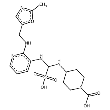 Cc1ncc(CNc2ncccc2NC(NC2CCN(C(=O)O)CC2)S(=O)(=O)O)o1